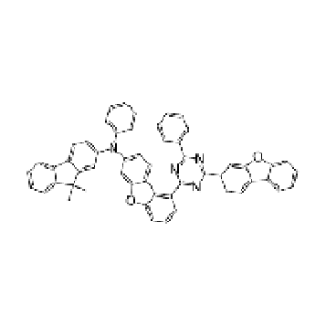 CC1(C)c2ccccc2-c2ccc(N(c3ccccc3)c3ccc4c(c3)oc3cccc(-c5nc(-c6ccccc6)nc(C6C=c7oc8ccccc8c7=CC6)n5)c34)cc21